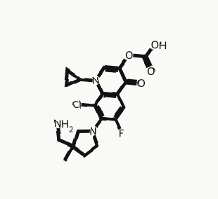 CC1(CN)CCN(c2c(F)cc3c(=O)c(OC(=O)O)cn(C4CC4)c3c2Cl)C1